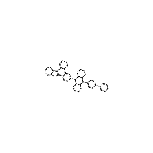 c1ccc(-c2ccc(-c3c4ccccc4c(-c4ccc5c(c4)c4ccccc4c4c6ccccc6sc54)c4ccccc34)cc2)cc1